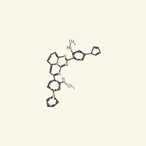 CNc1cc(-n2cccc2)ccc1C1=NC2=NC(c3ccc(C4C=CC=C4)cc3NC)=NC3=CC=CC(=C1)N32